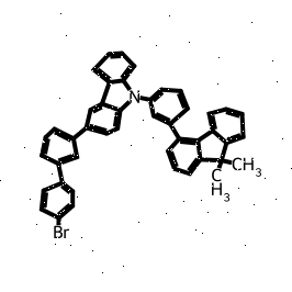 CC1(C)c2ccccc2-c2c(-c3cccc(-n4c5ccccc5c5cc(-c6cccc(-c7ccc(Br)cc7)c6)ccc54)c3)cccc21